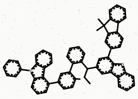 CCC(c1cc(-c2ccc3c(c2)C(C)(C)c2ccccc2-3)c2sc3ccccc3c2c1)c1ccccc1-c1cc(-c2cccc3c2c2ccccc2n3-c2ccccc2)ccc1C